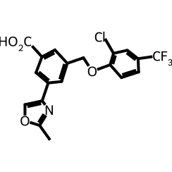 Cc1nc(-c2cc(COc3ccc(C(F)(F)F)cc3Cl)cc(C(=O)O)c2)co1